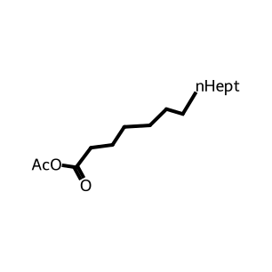 CCCCCCCCCCCCCC(=O)OC(C)=O